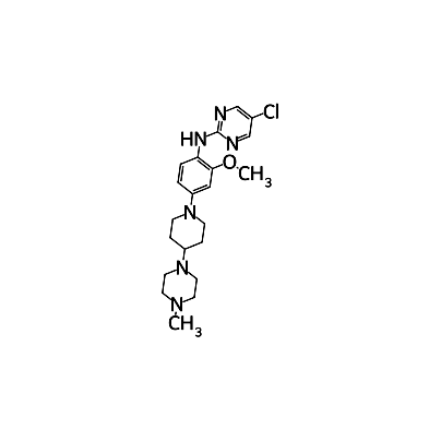 COc1cc(N2CCC(N3CCN(C)CC3)CC2)ccc1Nc1ncc(Cl)cn1